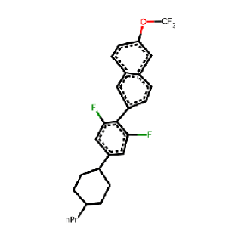 CCCC1CCC(c2cc(F)c(-c3ccc4cc(OC(F)(F)F)ccc4c3)c(F)c2)CC1